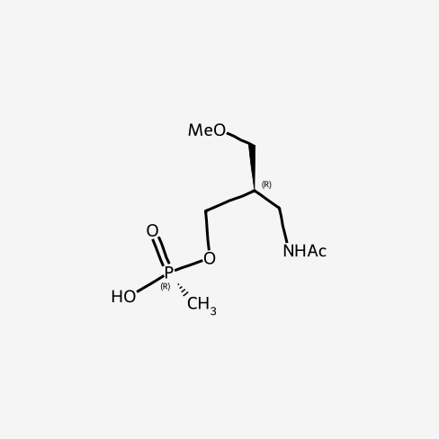 COC[C@@H](CNC(C)=O)CO[P@](C)(=O)O